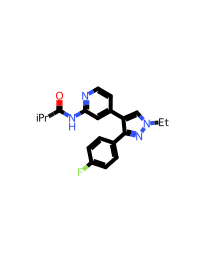 CCn1cc(-c2ccnc(NC(=O)C(C)C)c2)c(-c2ccc(F)cc2)n1